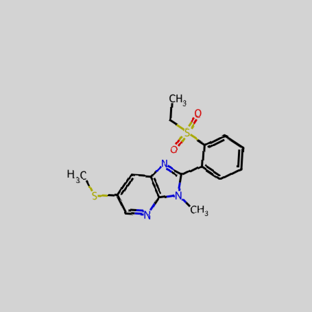 CCS(=O)(=O)c1ccccc1-c1nc2cc(SC)cnc2n1C